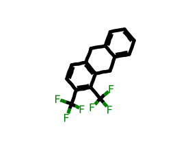 FC(F)(F)c1ccc2c(c1C(F)(F)F)Cc1ccccc1C2